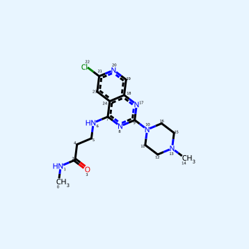 CNC(=O)CCNc1nc(N2CCN(C)CC2)nc2cnc(Cl)cc12